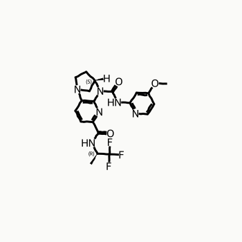 COc1ccnc(NC(=O)N2c3nc(C(=O)N[C@H](C)C(F)(F)F)ccc3N3CC[C@H]2C3)c1